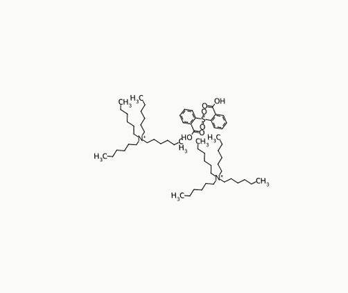 CCCCCC[N+](CCCCCC)(CCCCCC)CCCCCC.CCCCCC[N+](CCCCCC)(CCCCCC)CCCCCC.O=C(O)c1ccccc1S(=O)(=O)c1ccccc1C(=O)O